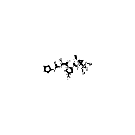 C=C[C@@H]1C[C@]1(NC(=O)[C@@H]1C[C@@H](O)CN1C(=O)[C@@H](NC(=O)OC1CCCC1)C(C)(C)C)P(=O)(OCC)OCC